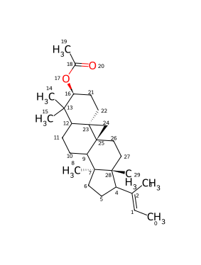 C/C=C(\C)C1CC[C@@]2(C)C3CCC4C(C)(C)[C@@H](OC(C)=O)CC[C@@]45C[C@@]35CC[C@]12C